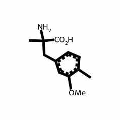 COc1cc(CC(C)(N)C(=O)O)ccc1C